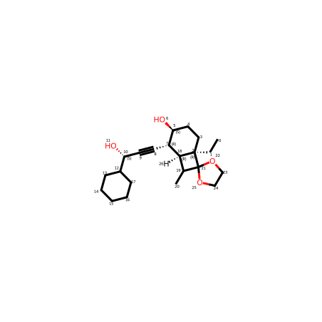 CC[C@@]12CC[C@H](O)[C@@H](C#C[C@@H](O)C3CCCCC3)[C@@H]1C(C)C21OCCO1